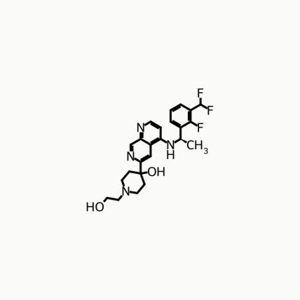 C[C@@H](Nc1ccnc2cnc(C3(O)CCN(CCO)CC3)cc12)c1cccc(C(F)F)c1F